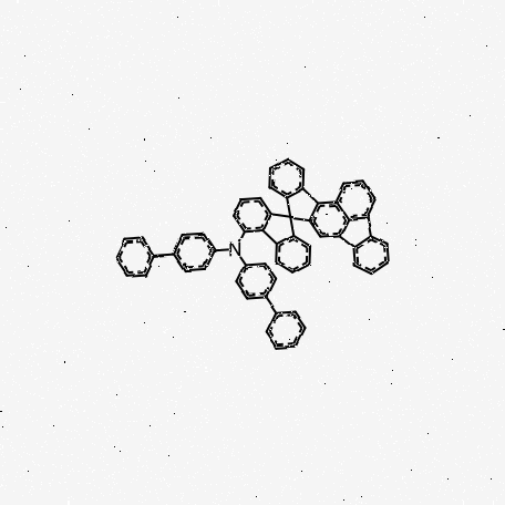 c1ccc(-c2ccc(N(c3ccc(-c4ccccc4)cc3)c3cccc4c3-c3ccccc3C43c4ccccc4-c4c3cc3c5c(cccc45)-c4ccccc4-3)cc2)cc1